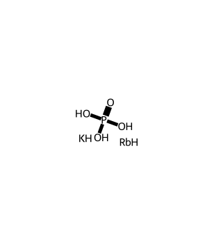 O=P(O)(O)O.[KH].[RbH]